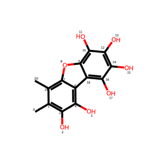 Cc1c(O)c(O)c2c(oc3c(O)c(O)c(O)c(O)c32)c1C